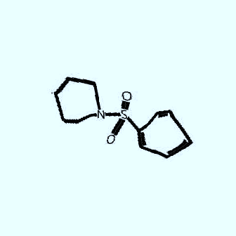 O=S(=O)(c1ccccc1)N1CC[CH]CC1